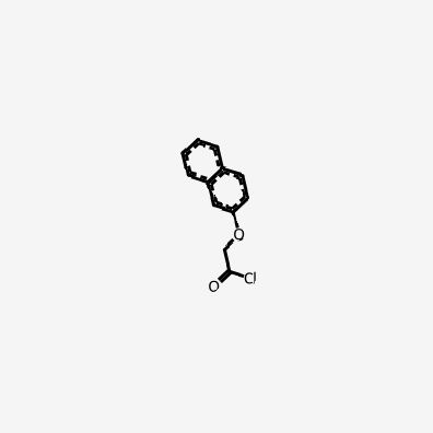 O=C(Cl)COc1ccc2ccccc2c1